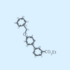 CCOC(=O)c1cccc(-c2ccc(OCc3ccccc3)cc2)c1